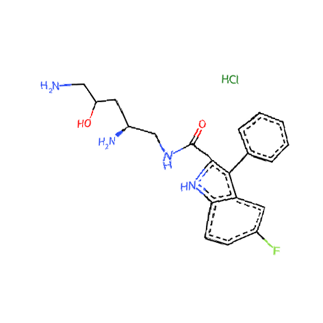 Cl.NCC(O)C[C@H](N)CNC(=O)c1[nH]c2ccc(F)cc2c1-c1ccccc1